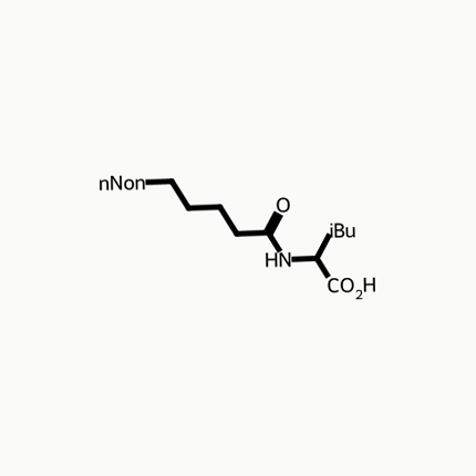 CCCCCCCCCCCCCC(=O)NC(C(=O)O)C(C)CC